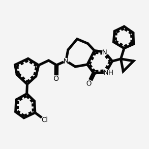 O=C(Cc1cccc(-c2cccc(Cl)c2)c1)N1CCCc2nc(C3(c4ccccc4)CC3)[nH]c(=O)c2C1